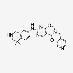 CC1(C)CNCc2cc(Nc3ncc4c(n3)OCN(Cc3ccncc3)C4=O)ccc21